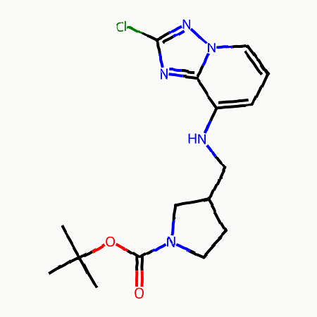 CC(C)(C)OC(=O)N1CCC(CNc2cccn3nc(Cl)nc23)C1